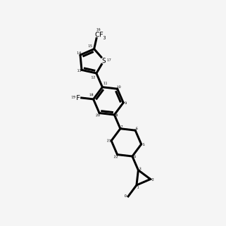 CC1CC1C1CCC(c2ccc(-c3ccc(C(F)(F)F)s3)c(F)c2)CC1